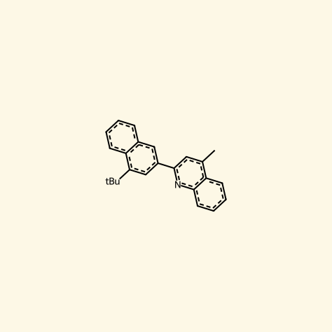 Cc1cc(-c2cc(C(C)(C)C)c3ccccc3c2)nc2ccccc12